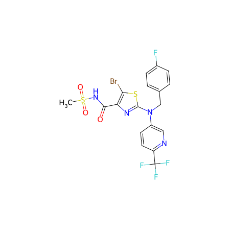 CS(=O)(=O)NC(=O)c1nc(N(Cc2ccc(F)cc2)c2ccc(C(F)(F)F)nc2)sc1Br